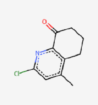 Cc1cc(Cl)nc2c1CCCC2=O